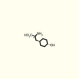 N[C@@H](C[C@H]1CC[C@H](O)CC1)C(=O)O